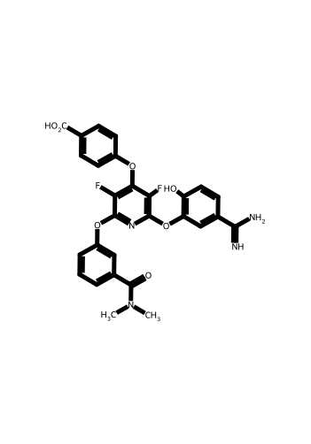 CN(C)C(=O)c1cccc(Oc2nc(Oc3cc(C(=N)N)ccc3O)c(F)c(Oc3ccc(C(=O)O)cc3)c2F)c1